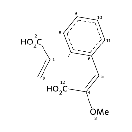 C=CC(=O)O.COC(=Cc1ccccc1)C(=O)O